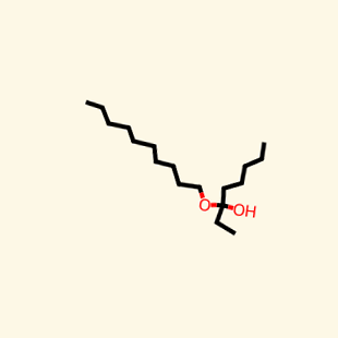 CCCCCCCCCCOC(O)(CC)CCCCC